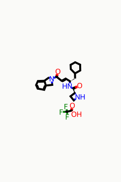 O=C(N[C@H](C=CC(=O)N1Cc2ccccc2C1)CC1CCCCC1)[C@@H]1CCN1.O=C(O)C(F)(F)F